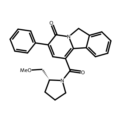 COC[C@H]1CCCN1C(=O)c1cc(-c2ccccc2)c(=O)n2c1-c1ccccc1C2